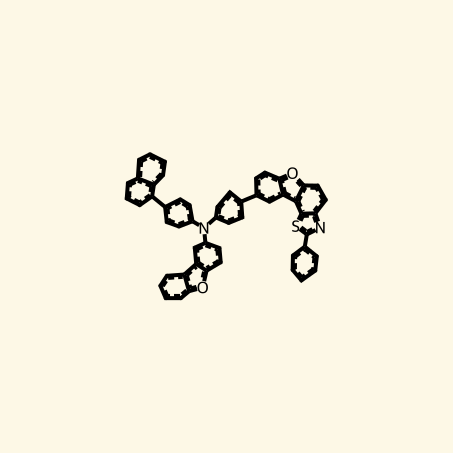 c1ccc(-c2nc3ccc4oc5ccc(-c6ccc(N(c7ccc(-c8cccc9ccccc89)cc7)c7ccc8oc9ccccc9c8c7)cc6)cc5c4c3s2)cc1